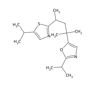 CC(C)c1ncc(C(C)(C)CC(C)c2ncc(C(C)C)s2)o1